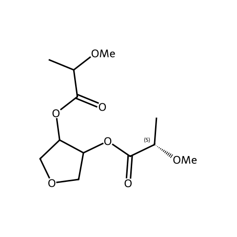 COC(C)C(=O)OC1COCC1OC(=O)[C@H](C)OC